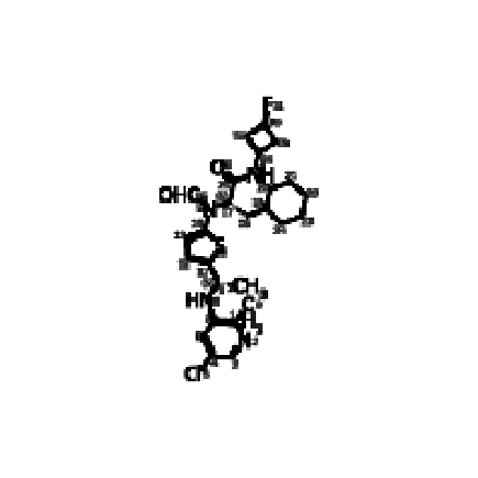 Cc1ncc(Cl)cc1N[C@@H](C)c1ccc(N(C=O)[C@@H](CC2CCCCC2)C(=O)NC2CC(F)C2)s1